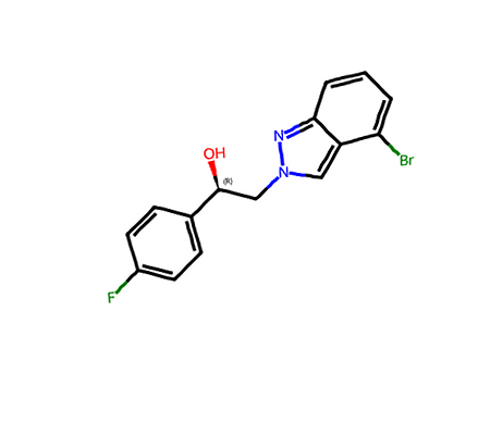 O[C@@H](Cn1cc2c(Br)cccc2n1)c1ccc(F)cc1